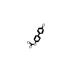 O=C(Cl)Oc1ccc(-c2ccc(Cl)cc2)cc1